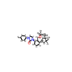 Cc1ccc(-n2ccn(-c3cccc(B4CC(C)(C)C(C)(C)C4)c3CO[Si](C)(C)C(C)(C)C)c2=O)cc1